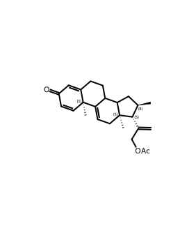 C=C(COC(C)=O)[C@H]1[C@H](C)CC2C3CCC4=CC(=O)C=C[C@]4(C)C3=CC[C@@]21C